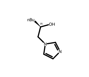 CCCC[C@@H](O)Cn1ccnc1